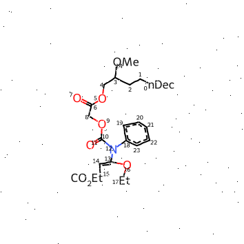 CCCCCCCCCCCCC(COC(=O)COC(=O)N(C(=CC(=O)OCC)OCC)c1ccccc1)OC